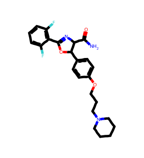 NC(=O)C1N=C(c2c(F)cccc2F)OC1c1ccc(OCCCN2CCCCC2)cc1